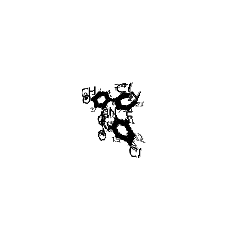 COc1ccc(-c2c(Nc3c(F)cc(Cl)cc3[N+](=O)[O-])ccnc2Cl)c(Cl)c1